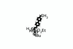 C=Cc1ccc(-c2ccc(CC[C@@](C)(NC(=O)OC(C)(C)C)C(=O)OCC)cc2)cc1